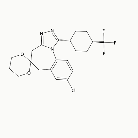 FC(F)(F)[C@H]1CC[C@H](c2nnc3n2-c2ccc(Cl)cc2CC2(C3)OCCCO2)CC1